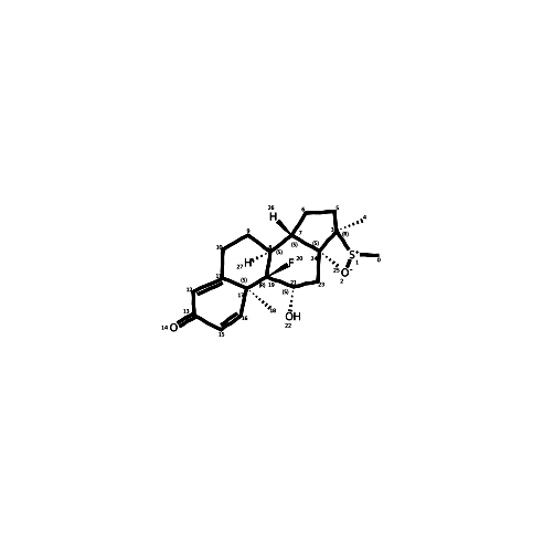 C[S+]([O-])[C@]1(C)CC[C@H]2[C@@H]3CCC4=CC(=O)C=C[C@]4(C)[C@@]3(F)[C@@H](O)C[C@@]21C